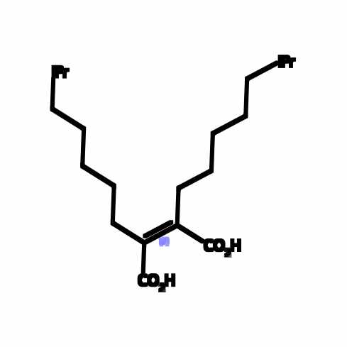 CC(C)CCCCC/C(C(=O)O)=C(\CCCCCC(C)C)C(=O)O